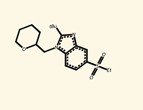 CCS(=O)(=O)c1ccc2c(c1)nc(C(C)(C)C)n2CC1CCCCO1